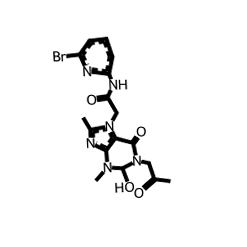 CC(=O)CN1C(=O)c2c(nc(C)n2CC(=O)Nc2cccc(Br)n2)N(C)C1O